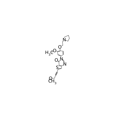 COCC#Cc1cc2ncn(-c3ccc(OCCN4CCCC4)c(OC)c3)c(=O)c2s1